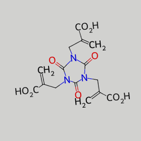 C=C(Cn1c(=O)n(CC(=C)C(=O)O)c(=O)n(CC(=C)C(=O)O)c1=O)C(=O)O